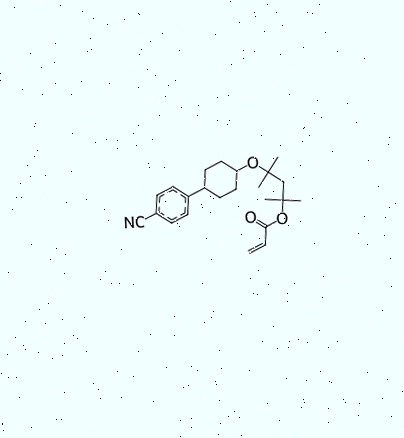 C=CC(=O)OC(C)(C)CC(C)(C)OC1CCC(c2ccc(C#N)cc2)CC1